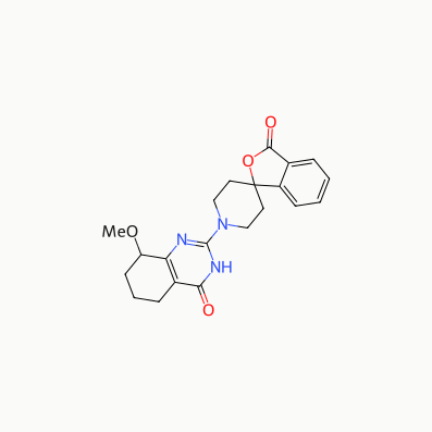 COC1CCCc2c1nc(N1CCC3(CC1)OC(=O)c1ccccc13)[nH]c2=O